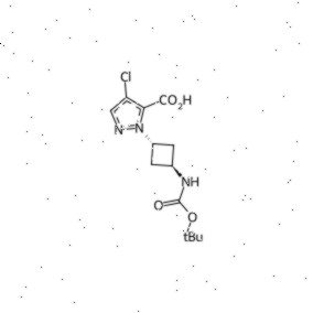 CC(C)(C)OC(=O)N[C@H]1C[C@H](n2ncc(Cl)c2C(=O)O)C1